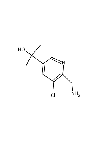 CC(C)(O)c1cnc(CN)c(Cl)c1